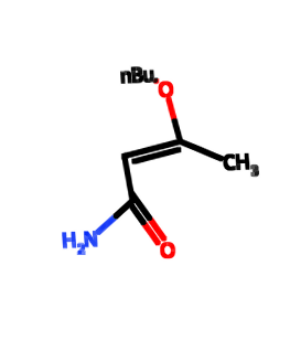 CCCCOC(C)=CC(N)=O